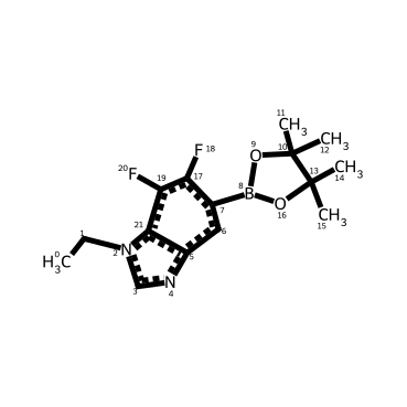 CCn1cnc2cc(B3OC(C)(C)C(C)(C)O3)c(F)c(F)c21